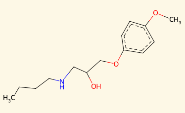 CCCCNCC(O)COc1ccc(OC)cc1